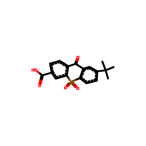 CC(C)(C)c1ccc2c(c1)C(=O)c1ccc(C(=O)O)cc1S2(=O)=O